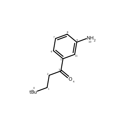 CC(C)(C)CCC(=O)c1cccc(N)c1